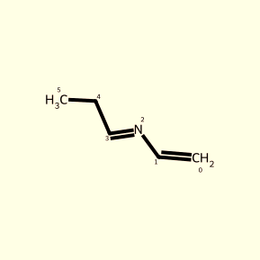 C=CN=CCC